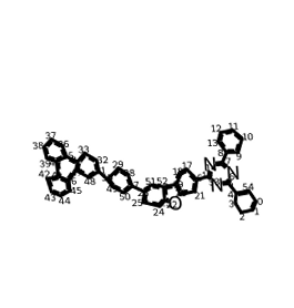 C1=CCCC(c2nc(-c3ccccc3)nc(-c3ccc4c(c3)oc3ccc(-c5ccc(-c6ccc7c8ccccc8c8ccccc8c7c6)cc5)cc34)n2)=C1